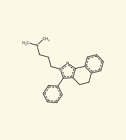 CN(C)CCCn1nc2c(c1-c1ccccc1)CCc1ccccc1-2